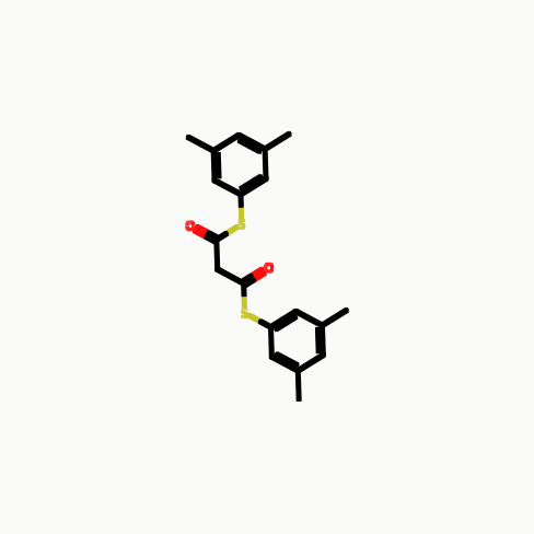 Cc1cc(C)cc(SC(=O)CC(=O)Sc2cc(C)cc(C)c2)c1